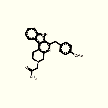 COc1ccc(Cc2nc3c(c4c2[nH]c2ccccc24)CCN(CC(N)=O)C3)cc1